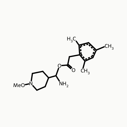 CON1CCC(C(N)OC(=O)Cc2c(C)cc(C)cc2C)CC1